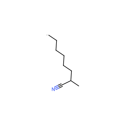 [CH2]CCCCCC(C)C#N